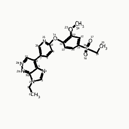 CCn1cnc2c(-c3ccc(Oc4ccc(S(=O)(=O)CC)cc4OC)nc3)cnnc21